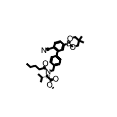 CCCCC(=O)N(Cc1ccc(-c2cc(B3OCC(C)(C)CO3)ccc2C#N)cc1)[C@H](C(=O)OC)C(C)C